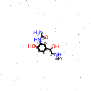 CC(C)NCC(O)c1ccc(O)c(NC(N)=O)c1